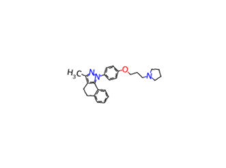 Cc1nn(-c2ccc(OCCCN3CCCC3)cc2)c2c1CCc1ccccc1-2